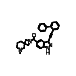 CN1CCCC2(C1)CN(C(=O)c1ccc3[nH]nc(C#Cc4ccccc4-c4ccccc4)c3c1)C2